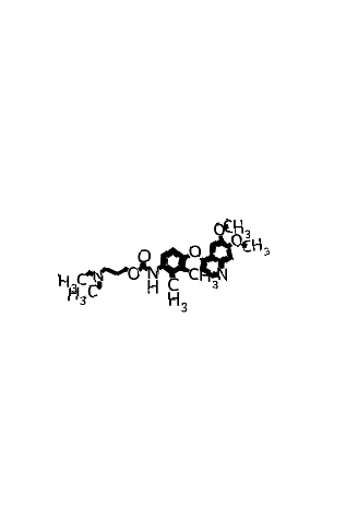 CCN(CC)CCCOC(=O)Nc1ccc(Oc2ccnc3cc(OC)c(OC)cc23)c(C)c1C